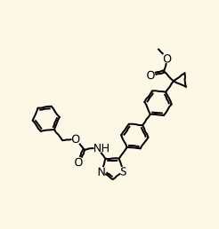 COC(=O)C1(c2ccc(-c3ccc(-c4scnc4NC(=O)OCc4ccccc4)cc3)cc2)CC1